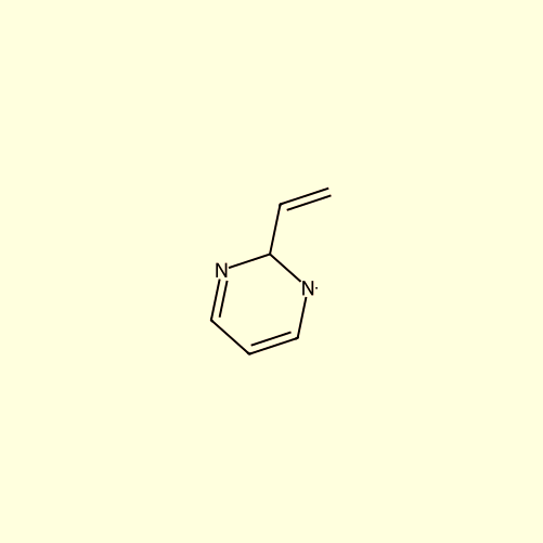 C=CC1[N]C=CC=N1